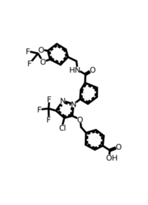 O=C(O)c1ccc(COc2c(Cl)c(C(F)(F)F)nn2-c2cccc(C(=O)NCc3ccc4c(c3)OC(F)(F)O4)c2)cc1